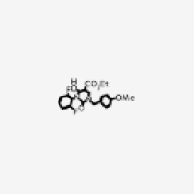 CCOC(=O)C1CN(Cc2ccc(OC)cc2)C(=O)N(c2c(F)cccc2F)C1O